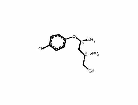 C[C@@H](C[C@H](N)CO)Oc1ccc(Cl)cc1